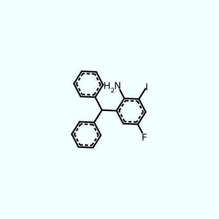 Nc1c(I)cc(F)cc1C(c1ccccc1)c1ccccc1